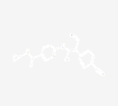 N#Cc1ccc(/C(C=N)=C(\O)Nc2ccc(C(=O)NC3CC3)cn2)cc1